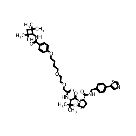 CC1(C)CC(C)(C)C1NC(=O)c1ccc(OCCCCOCCOCC(=O)N[C@H](C(=O)N2CCC[C@H]2C(=O)NCc2ccc(-c3cncs3)cc2)C(C)(C)C)cc1